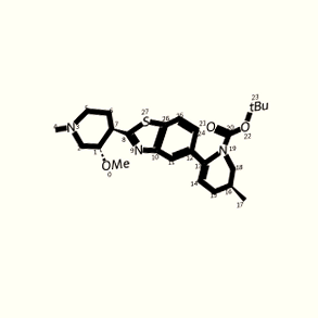 CO[C@@H]1CN(C)CC[C@H]1c1nc2cc(C3=CC[C@H](C)CN3C(=O)OC(C)(C)C)ccc2s1